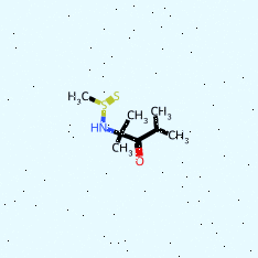 CC(C)C(=O)C(C)(C)NS(C)=S